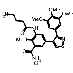 COc1cc(-c2nscc2-c2cc(NC(=O)CCCN)c(OC)c(C(N)=O)c2)cc(OC)c1OC.Cl